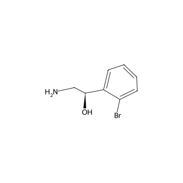 NC[C@H](O)c1ccccc1Br